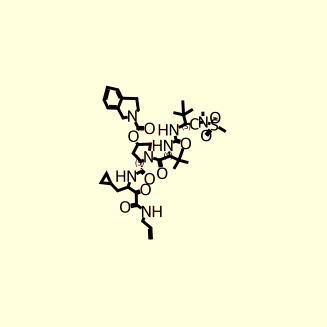 C=CCNC(=O)C(=O)C(CC1CC1)NC(=O)[C@@H]1CC(OC(=O)N2CCc3ccccc3C2)CN1C(=O)[C@@H](NC(=O)N[C@H](CN(C)S(C)(=O)=O)C(C)(C)C)C(C)(C)C